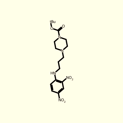 CC(C)(C)OC(=O)N1CCN(CCCNc2ccc([N+](=O)[O-])cc2[N+](=O)[O-])CC1